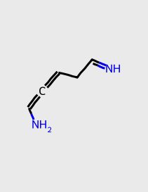 N=CCC=C=CN